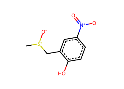 C[S+]([O-])Cc1cc([N+](=O)[O-])ccc1O